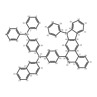 c1ccc(N(c2ccccc2)c2ccc(N(c3ccc(-c4nc5ccccc5c5cc6c7ccccc7n(-c7ccccc7)c6cc45)cc3)c3ccc4ccccc4c3)cc2)cc1